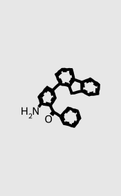 Nc1ccc(-c2cccc3c2Cc2ccccc2-3)cc1C(=O)c1ccccc1